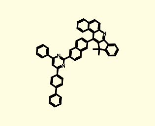 CC1(C)c2ccccc2-c2nc3ccc4ccccc4c3c(-c3ccc4cc(-c5nc(-c6ccccc6)cc(-c6ccc(-c7ccccc7)cc6)n5)ccc4c3)c21